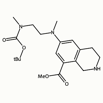 COC(=O)c1cc(N(C)CCN(C)C(=O)OC(C)(C)C)cc2c1CNCC2